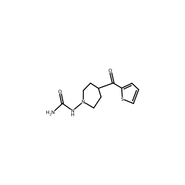 NC(=O)NN1CCC(C(=O)c2cccs2)CC1